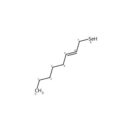 CCCCCC=CC[SeH]